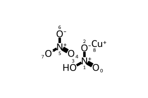 O=[N+]([O-])O.O=[N+]([O-])[O-].[Cu+]